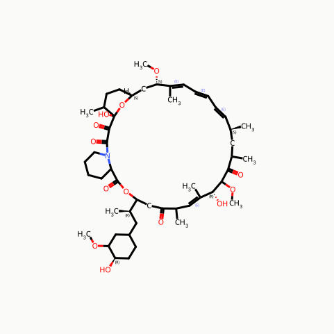 COC1CC(C[C@@H](C)C2CC(=O)C(C)/C=C(\C)[C@@H](O)C(OC)C(=O)C(C)C[C@H](C)/C=C/C=C/C=C(\C)[C@@H](OC)C[C@@H]3CCC(C)C(O)(O3)C(=O)C(=O)N3CCCCC3C(=O)O2)CC[C@H]1O